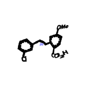 COc1ccc(C(=O)O)c(/C=C/c2cccc(Cl)c2)c1